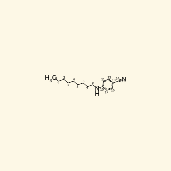 CCCCCCCCCNc1ccc(C#N)cc1